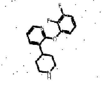 Fc1cccc(Oc2ncccc2C2CCNCC2)c1F